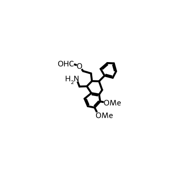 COc1ccc2c(c1OC)CC(c1ccccc1)C(CCOC=O)C2CN